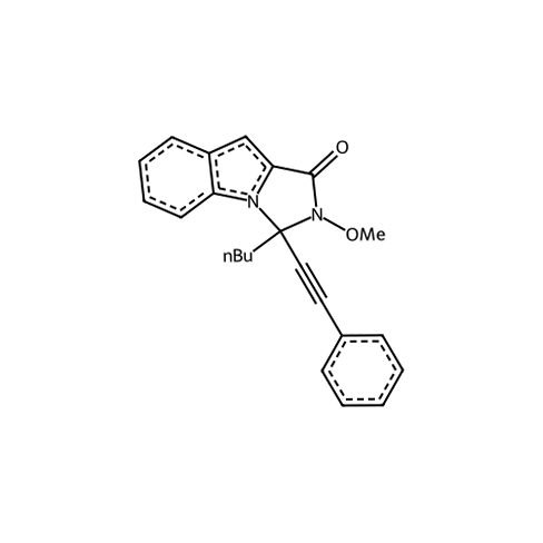 CCCCC1(C#Cc2ccccc2)N(OC)C(=O)c2cc3ccccc3n21